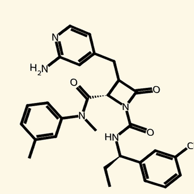 CC[C@@H](NC(=O)N1C(=O)C(Cc2ccnc(N)c2)[C@H]1C(=O)N(C)c1cccc(C)c1)c1cccc(Cl)c1